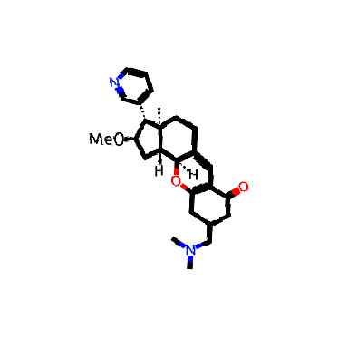 CO[C@@H]1C[C@H]2[C@@H]3OC4=C(C=C3CC[C@]2(C)[C@H]1c1cccnc1)C(=O)CC(CN(C)C)C4